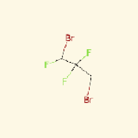 FC(Br)C(F)(F)CBr